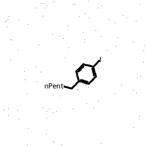 CCC[CH]CCc1ccc(I)cc1